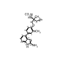 Cc1cc(-c2ccnc3[nH]c(N)nc23)ccc1OCC(C)(CC(C)C)NC(=O)O